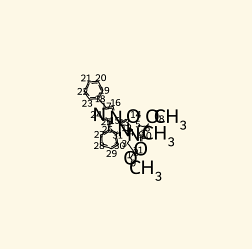 COCC[N+](CCOC)(C(C)=O)n1c(=O)n2cc(-c3ccccc3)nc2c2ccccc21